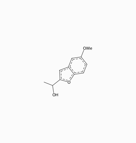 COc1ccc2oc(C(C)O)cc2c1